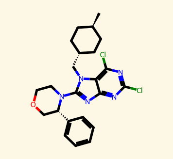 C[C@H]1CC[C@H](Cn2c(N3CCOC[C@H]3c3ccccc3)nc3nc(Cl)nc(Cl)c32)CC1